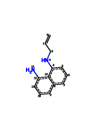 C=CCNc1cccc2cccc(N)c12